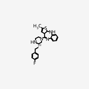 CC1=CC2C(N3CCN[C@@H](CCc4ccc(F)cc4)C3)=Nc3ccccc3NC2S1